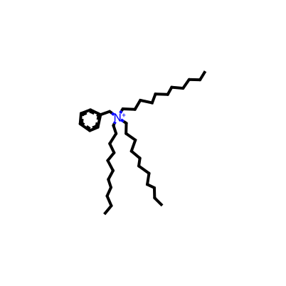 CCCCCCCCCCC[N+](CCCCCCCCCCC)(CCCCCCCCCCC)Cc1ccccc1